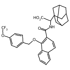 O=C(NC(C(=O)O)C12CC3CC(CC(C3)C1)C2)c1ccc2ccccc2c1OCc1ccc(OC(F)(F)F)cc1